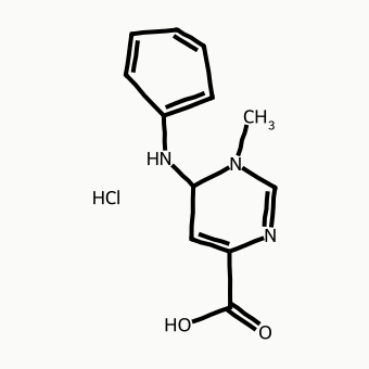 CN1C=NC(C(=O)O)=CC1Nc1ccccc1.Cl